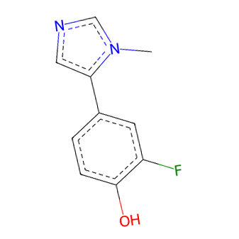 Cn1cncc1-c1ccc(O)c(F)c1